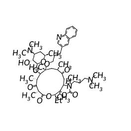 CC[C@H]1OC(=O)[C@H](C)C(=O)[C@H](C)[C@@H](O[C@@H]2O[C@H](C)C[C@H](N(C)C)[C@H]2O)[C@](C)(OC/C=C/c2cnc3ccccc3c2)C[C@@H](C)C(=O)[C@H](C)[C@H]2N(CCCN(C)C)C(=O)O[C@]12C